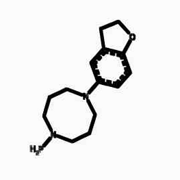 PN1CCCN(c2ccc3c(c2)CCO3)CCC1